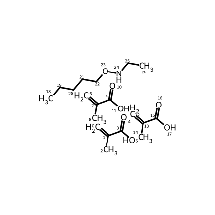 C=C(C)C(=O)O.C=C(C)C(=O)O.C=C(C)C(=O)O.CCCCCONCC